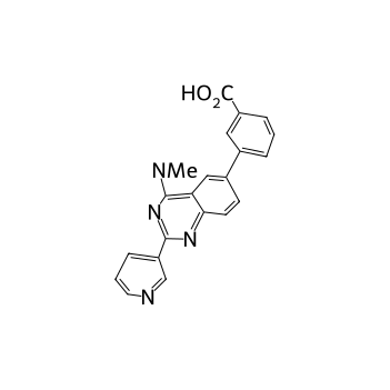 CNc1nc(-c2cccnc2)nc2ccc(-c3cccc(C(=O)O)c3)cc12